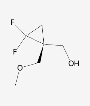 COC[C@]1(CO)CC1(F)F